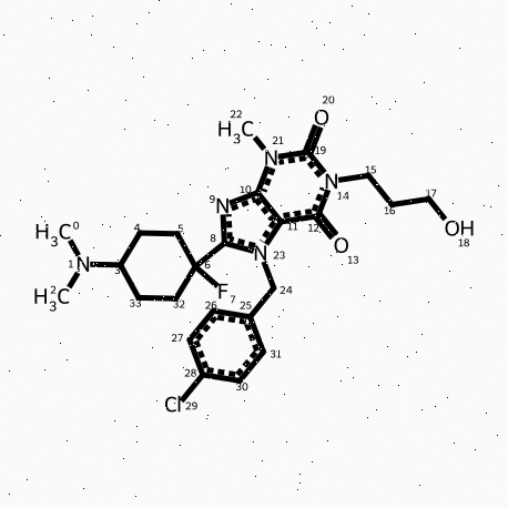 CN(C)C1CCC(F)(c2nc3c(c(=O)n(CCCO)c(=O)n3C)n2Cc2ccc(Cl)cc2)CC1